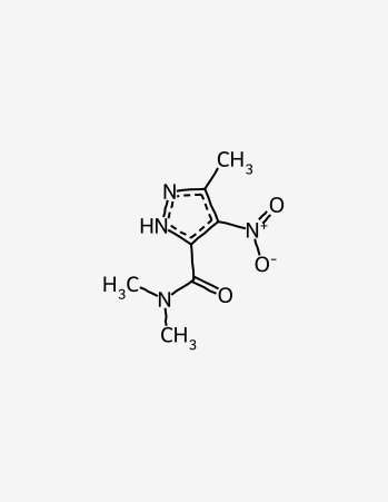 Cc1n[nH]c(C(=O)N(C)C)c1[N+](=O)[O-]